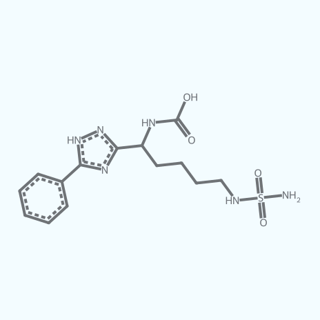 NS(=O)(=O)NCCCCC(NC(=O)O)c1n[nH]c(-c2ccccc2)n1